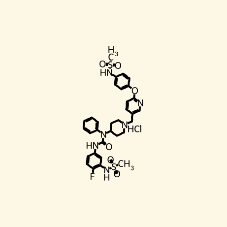 CS(=O)(=O)Nc1ccc(Oc2ccc(CN3CCC(N(C(=O)Nc4ccc(F)c(NS(C)(=O)=O)c4)c4ccccc4)CC3)cn2)cc1.Cl